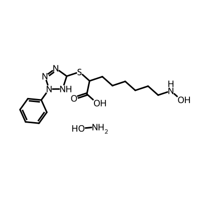 NO.O=C(O)C(CCCCCCNO)SC1N=NN(c2ccccc2)N1